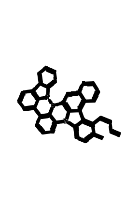 C=C/C=C\c1c(C)ccc2c1c1c3ccccc3cc3c1n2-c1cccc2c1B3n1c3ccccc3c3cccc-2c31